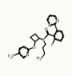 O=C(c1c(F)cccc1-c1ncccn1)N(CCCP)C1CCC1Oc1ccc(C(F)(F)F)cn1